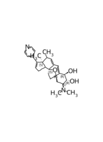 CC1C=C2C=C3[C@@H](O)[C@H](O)[C@@H](N(C)C)C[C@]34CC[C@]2(O4)C2CC=C(c3ccncc3)[C@@]12C